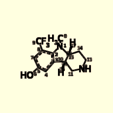 CN1c2c(cc(O)cc2C(F)(F)F)[C@H]2CNCC[C@H]21